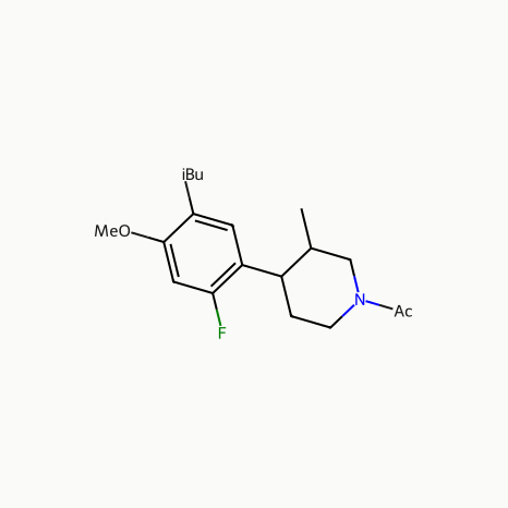 CCC(C)c1cc(C2CCN(C(C)=O)CC2C)c(F)cc1OC